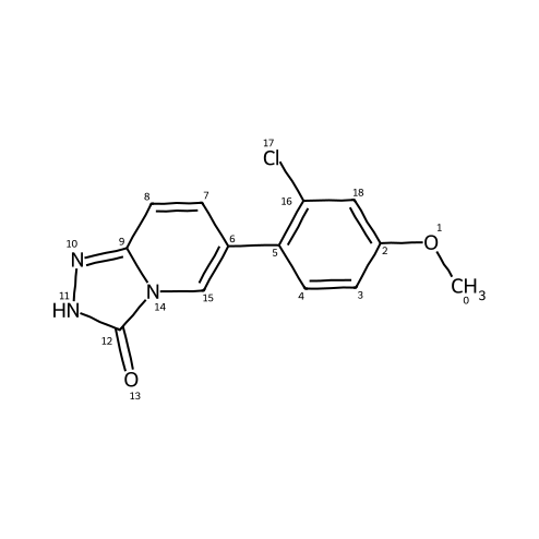 COc1ccc(-c2ccc3n[nH]c(=O)n3c2)c(Cl)c1